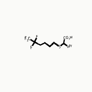 CCCC(SCCCCC(F)(F)C(F)(F)F)C(=O)O